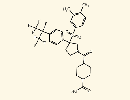 Cc1ccc(S(=O)(=O)C2(c3ccc(C(F)(C(F)(F)F)C(F)(F)F)cc3)CCN(C(=O)C3CCC(C(=O)O)CC3)C2)cc1C